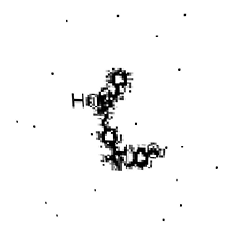 COc1ccc(Cn2nc(C)c(-c3ccc(CCC(C)(CCCc4ccccc4)C(=O)O)cc3)c2C)cc1